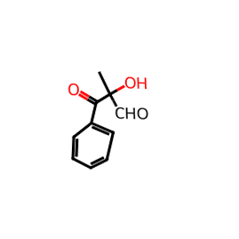 CC(O)(C=O)C(=O)c1ccccc1